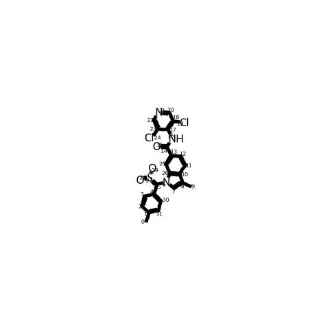 Cc1ccc(C(n2cc(C)c3ccc(C(=O)Nc4c(Cl)cncc4Cl)cc32)=S(=O)=O)cc1